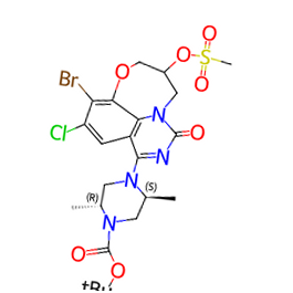 C[C@@H]1CN(c2nc(=O)n3c4c(c(Br)c(Cl)cc24)OCC(OS(C)(=O)=O)C3)[C@@H](C)CN1C(=O)OC(C)(C)C